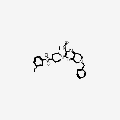 CC(C)Nc1nc2c(nc1N1CCC(S(=O)(=O)c3cccc(F)c3)CC1)CN(Cc1ccccc1)CC2